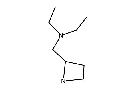 CCN(CC)CC1CC[N]1